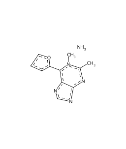 Cc1nc2ncnc-2c(-c2ccco2)n1C.N